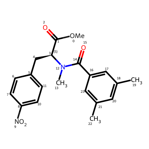 COC(=O)[C@H](Cc1ccc([N+](=O)[O-])cc1)N(C)C(=O)c1cc(C)cc(C)c1